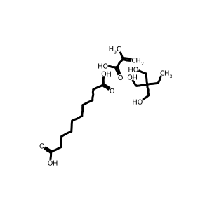 C=C(C)C(=O)O.CCC(CO)(CO)CO.O=C(O)CCCCCCCCC(=O)O